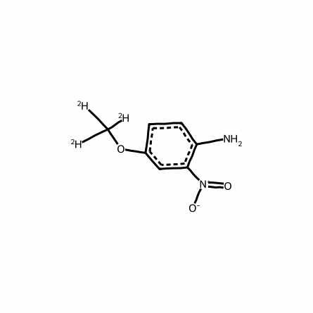 [2H]C([2H])([2H])Oc1ccc(N)c([N+](=O)[O-])c1